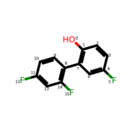 Oc1ccc(F)cc1-c1ccc(F)cc1F